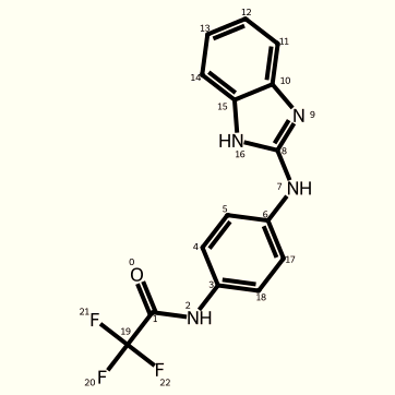 O=C(Nc1ccc(Nc2nc3ccccc3[nH]2)cc1)C(F)(F)F